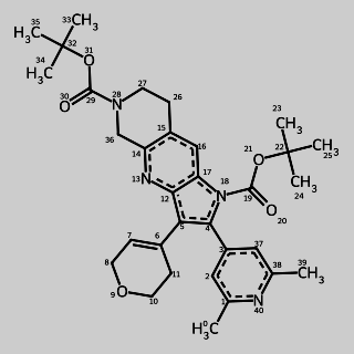 Cc1cc(-c2c(C3=CCOCC3)c3nc4c(cc3n2C(=O)OC(C)(C)C)CCN(C(=O)OC(C)(C)C)C4)cc(C)n1